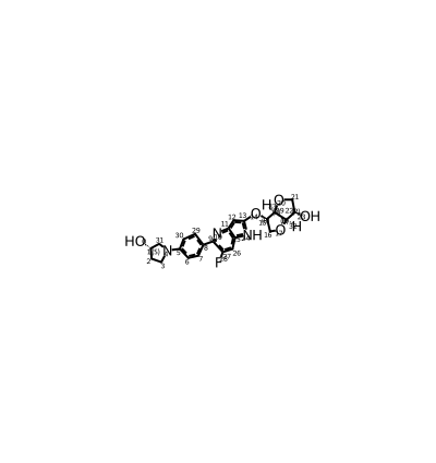 O[C@H]1CCN(c2ccc(-c3nc4cc(O[C@@H]5CO[C@H]6[C@@H]5OC[C@H]6O)[nH]c4cc3F)cc2)C1